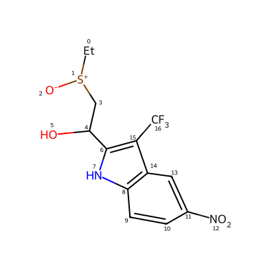 CC[S+]([O-])CC(O)c1[nH]c2ccc([N+](=O)[O-])cc2c1C(F)(F)F